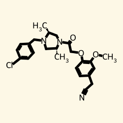 COc1cc(CC#N)ccc1OCC(=O)N1C[C@H](C)N(Cc2ccc(Cl)cc2)C[C@H]1C